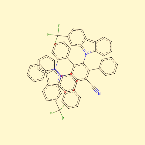 N#Cc1c(-c2ccccc2)c(-n2c3ccccc3c3ccc(C(F)(F)F)cc32)c(-c2ccccc2N(c2ccccc2)c2ccccc2)c(-n2c3ccccc3c3ccc(C(F)(F)F)cc32)c1-c1ccccc1